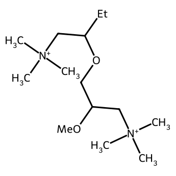 CCC(C[N+](C)(C)C)OCC(C[N+](C)(C)C)OC